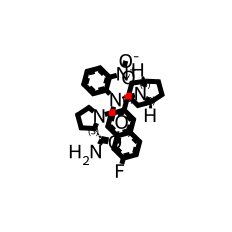 NC(=O)[C@@H]1CCCN1C(=O)N(c1ccccc1[N+](=O)[O-])[C@H]1C[C@H]2CC[C@@H](C1)N2Cc1ccc2cc(F)ccc2c1